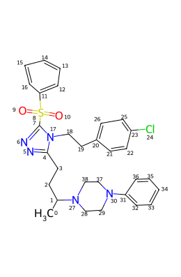 CC(CCc1nnc(S(=O)(=O)c2ccccc2)n1CCc1ccc(Cl)cc1)N1CCN(c2ccccc2)CC1